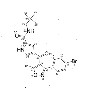 Cc1onc(-c2ccc(Br)cc2)c1C(=O)c1c[nH]c(C(=O)NCC(C)(C)C)c1